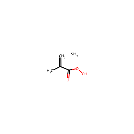 C=C(C)C(=O)OO.[SiH4]